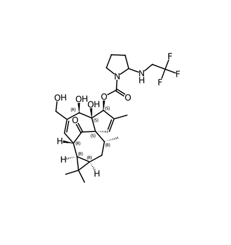 CC1=C[C@]23C(=O)[C@@H](C=C(CO)[C@@H](O)[C@]2(O)[C@H]1OC(=O)N1CCCC1NCC(F)(F)F)[C@H]1[C@@H](C[C@H]3C)C1(C)C